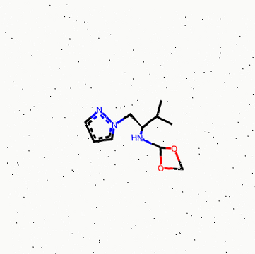 CC(C)[C@H](Cn1cccn1)NC1OCO1